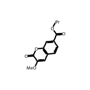 COc1cc2ccc(C(=O)OC(C)C)cc2oc1=O